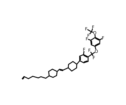 C=CCCCCCC1CCC(/C=C/C2CCC(c3ccc(C(F)(F)Oc4cc(F)c(OC(F)(F)F)c(F)c4)c(F)c3)CC2)CC1